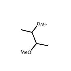 COC(C)C(C)OC